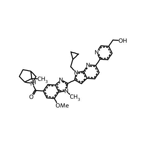 COc1cc(C(=O)N2CC3CCC2[C@@H]3C)cc2nc(-c3cc4ccc(-c5ccc(CO)cn5)nc4n3CC3CC3)n(C)c12